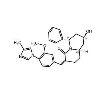 COc1cc(C=C2CC[C@@H]3C[C@H](O)C[C@@H](c4ccccc4)N3C2=O)ccc1-n1cnc(C)c1